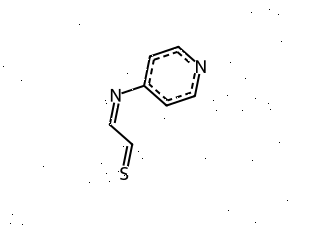 S=C/C=N\c1ccncc1